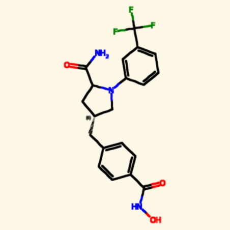 NC(=O)C1C[C@@H](Cc2ccc(C(=O)NO)cc2)CN1c1cccc(C(F)(F)F)c1